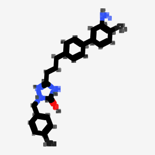 CC(C)(C)c1ccc(Cn2nc(CCCc3ccc(-c4ccc(C(F)(F)F)c(N)c4)cc3)[nH]c2=O)cc1